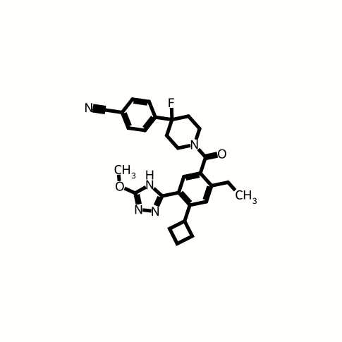 CCc1cc(C2CCC2)c(-c2nnc(OC)[nH]2)cc1C(=O)N1CCC(F)(c2ccc(C#N)cc2)CC1